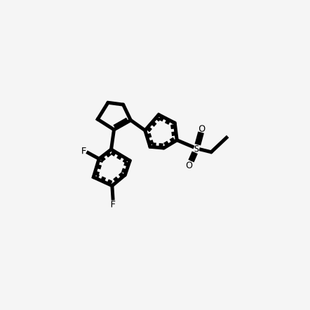 CCS(=O)(=O)c1ccc(C2=C(c3ccc(F)cc3F)CCC2)cc1